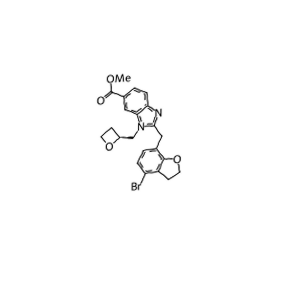 COC(=O)c1ccc2nc(Cc3ccc(Br)c4c3OCC4)n(C[C@@H]3CCO3)c2c1